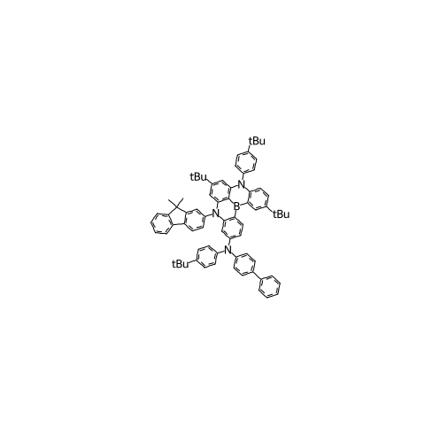 CC(C)(C)c1ccc(N(c2ccc(-c3ccccc3)cc2)c2ccc3c(c2)N(c2ccc4c(c2)C(C)(C)c2ccccc2-4)c2cc(C(C)(C)C)cc4c2B3c2cc(C(C)(C)C)ccc2N4c2ccc(C(C)(C)C)cc2)cc1